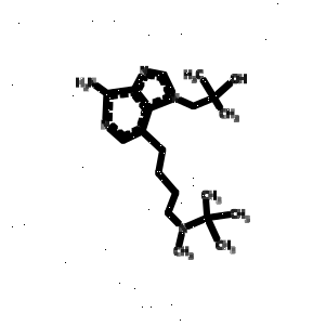 CN(CCCCc1cnc(N)c2ncn(CC(C)(C)O)c12)C(C)(C)C